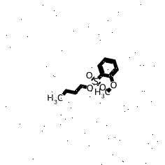 CCCCOS(=O)(=O)c1ccccc1OC